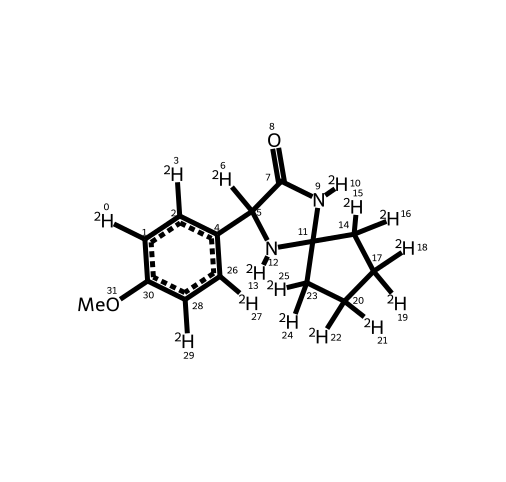 [2H]c1c([2H])c(C2([2H])C(=O)N([2H])C3(N2[2H])C([2H])([2H])C([2H])([2H])C([2H])([2H])C3([2H])[2H])c([2H])c([2H])c1OC